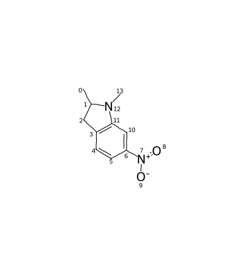 CC1Cc2ccc([N+](=O)[O-])cc2N1C